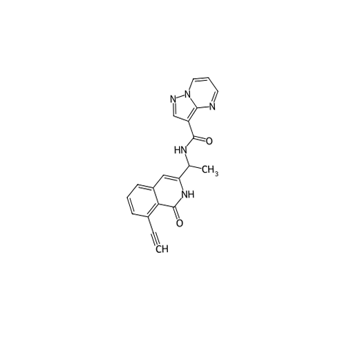 C#Cc1cccc2cc(C(C)NC(=O)c3cnn4cccnc34)[nH]c(=O)c12